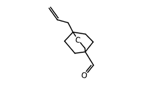 C=CCC12CCC(C=O)(CC1)CC2